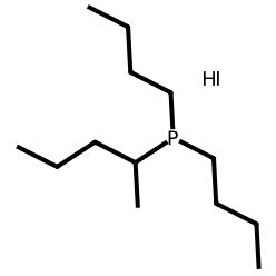 CCCCP(CCCC)C(C)CCC.I